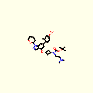 Cc1cc(O)ccc1-c1cc(O[C@H]2C[C@H](N(CCN(C)C)C(=O)OC(C)(C)C)C2)c2cnn(C3CCCCO3)c2c1